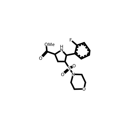 COC(=O)C1CC(S(=O)(=O)N2CCOCC2)C(c2ccccc2F)N1